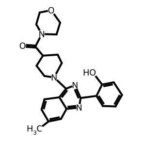 Cc1ccc2c(N3CCC(C(=O)N4CCOCC4)CC3)nc(-c3ccccc3O)nc2c1